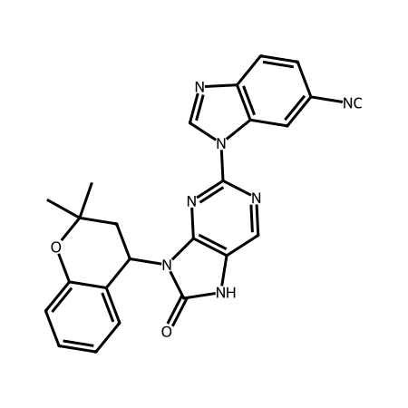 [C-]#[N+]c1ccc2ncn(-c3ncc4[nH]c(=O)n(C5CC(C)(C)Oc6ccccc65)c4n3)c2c1